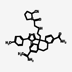 C=C(N)c1ccc2c(c1)CCc1cc(C(N)=O)ccc1C2(CCNCC(=O)N1CCCC1C#N)c1nnc(-c2ccc(C)cc2)[nH]1